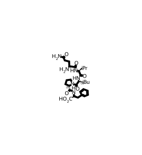 CC[C@H](C)[C@H](NC(=O)[C@@H](NC(=O)[C@@H](N)CCC(N)=O)C(C)C)C(=O)N1CCC[C@H]1C(=O)N[C@@H](Cc1ccccc1)C(=O)O